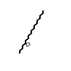 CCCCCCCCCCCCCC([O])CCCC